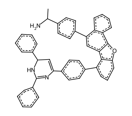 CC(N)c1ccc(-c2cc3c(oc4cccc(-c5ccc(C6=CC(c7ccccc7)NC(c7ccccc7)=N6)cc5)c43)c3ccccc23)cc1